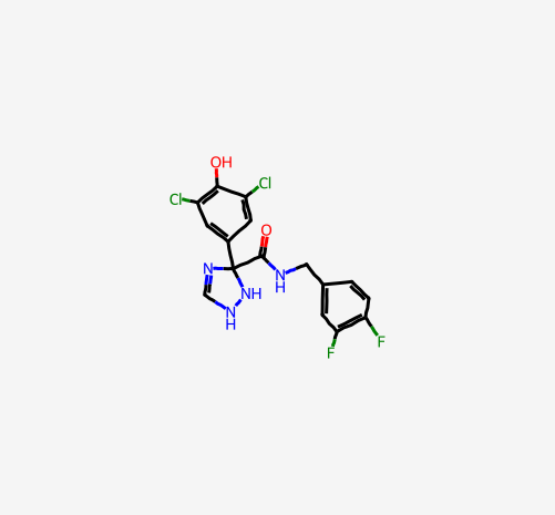 O=C(NCc1ccc(F)c(F)c1)C1(c2cc(Cl)c(O)c(Cl)c2)N=CNN1